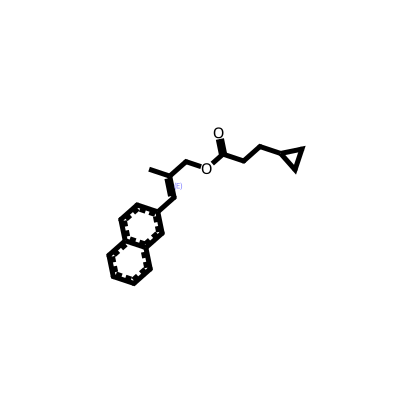 C/C(=C\c1ccc2ccccc2c1)COC(=O)CCC1CC1